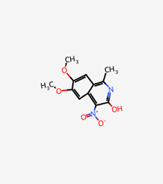 COc1cc2c(C)nc(O)c([N+](=O)[O-])c2cc1OC